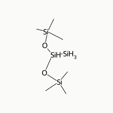 C[Si](C)(C)O[SiH]([SiH3])O[Si](C)(C)C